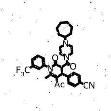 CC(=O)C1=C(C)N(c2cccc(C(F)(F)F)c2)C(=O)C(C(=O)N2CCN(C3CCCCCC3)CC2)C1c1ccc(C#N)cc1